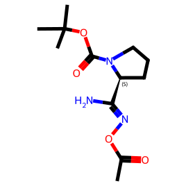 CC(=O)ON=C(N)[C@@H]1CCCN1C(=O)OC(C)(C)C